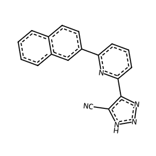 N#Cc1[nH]nnc1-c1cccc(-c2ccc3ccccc3c2)n1